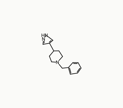 c1ccc(CN2CCC(c3cn[nH]c3)CC2)cc1